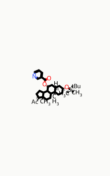 CC(=O)[C@H]1CCC2C3C(CC[C@@]21C)[C@@]1(C)CC[C@@H](O[Si](C)(C)C(C)(C)C)C[C@H]1C[C@H]3OC(=O)c1cccnc1